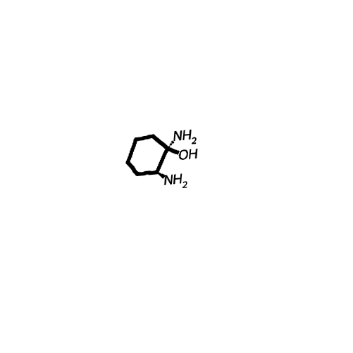 N[C@H]1CCCC[C@@]1(N)O